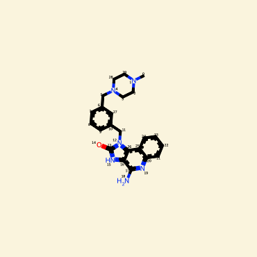 CN1CCN(Cc2cccc(Cn3c(=O)[nH]c4c(N)nc5ccccc5c43)c2)CC1